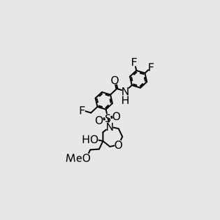 COCCC1(O)COCCN(S(=O)(=O)c2cc(C(=O)Nc3ccc(F)c(F)c3)ccc2CF)C1